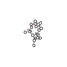 c1ccc(-c2ccc3c(c2)c2ccccc2n3-c2ccc(-c3cc(-c4ccccc4)nc(-c4ccccc4)n3)cc2-c2cc(-c3ccccc3)nc(-c3cccc(-c4ccc5c6c4N(c4ccccc4)c4ccccc4B6c4ccccc4N5c4ccccc4)c3)n2)cc1